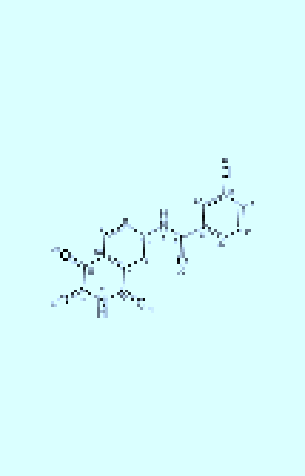 O=C1NC(=O)c2cc(NC(=O)c3cccc(Cl)c3)ccc2C1=O